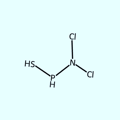 SPN(Cl)Cl